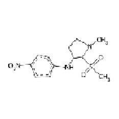 CN1CCC(Nc2ccc([N+](=O)[O-])cc2)C1S(C)(=O)=O